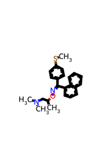 CSc1ccc(/C(=N/OC(C)CN(C)C)c2cccc3ccccc23)cc1